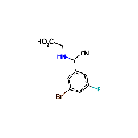 N#CC(NCC(=O)O)c1cc(F)cc(Br)c1